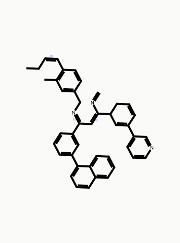 C=N/C(=C\C(=N/Cc1ccc(/C=C\CC)c(C)c1)c1cccc(-c2cccc3ccccc23)c1)C1C=C(c2cccnc2)C=CC1